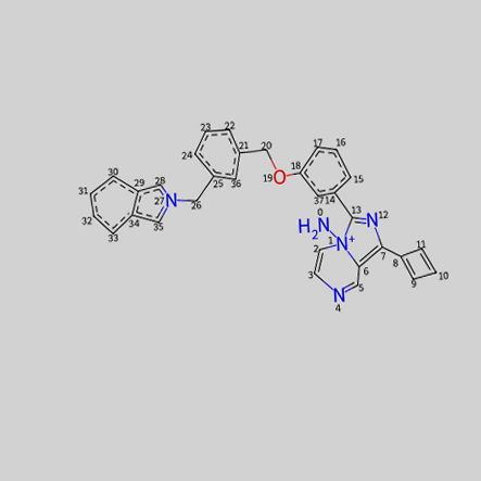 N[N+]12C=CN=CC1=C(C1=CC=C1)N=C2c1cccc(OCc2cccc(Cn3cc4ccccc4c3)c2)c1